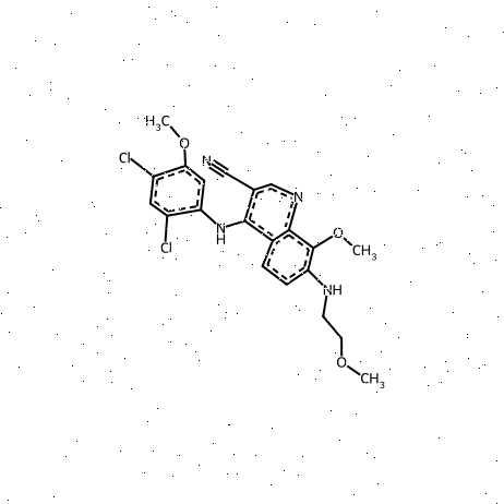 COCCNc1ccc2c(Nc3cc(OC)c(Cl)cc3Cl)c(C#N)cnc2c1OC